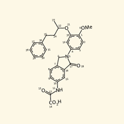 COc1ccc(N2Cc3ccc(NC(=O)C(=O)O)cc3C2=O)cc1OC(C)CCc1ccccc1